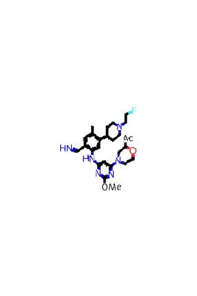 COc1nc(Nc2cc(C3CCN(CCF)CC3)c(C)cc2C=N)cc(N2CCOC(C(C)=O)C2)n1